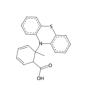 CC1(N2c3ccccc3Sc3ccccc32)C=CC=CC1C(=O)O